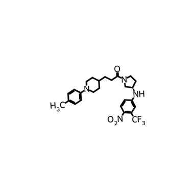 Cc1ccc(N2CCC(CCC(=O)N3CC[C@@H](Nc4ccc([N+](=O)[O-])c(C(F)(F)F)c4)C3)CC2)cc1